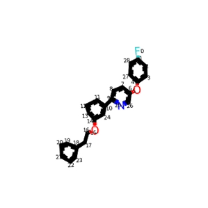 Fc1ccc(Oc2ccc(-c3cccc(OCCc4ccccc4)c3)nc2)cc1